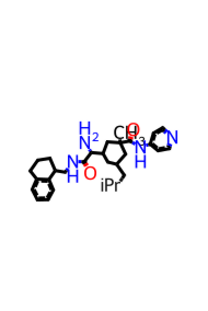 CC(C)CC1CC(C(N)C(=O)NCC2CCCc3ccccc32)CC(C)(C(=O)Nc2ccncc2)C1